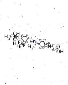 C/C(=N\OCc1ccc(CCC(C)(C)C)c(C(F)(F)F)c1)c1ccc(CNCCC(=O)O)cc1